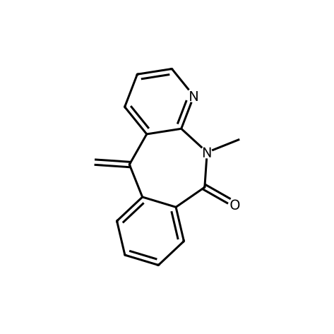 C=C1c2ccccc2C(=O)N(C)c2ncccc21